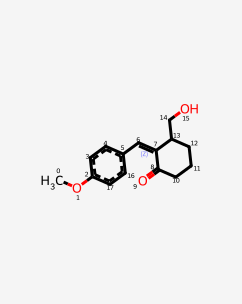 COc1ccc(/C=C2\C(=O)CCCC2CO)cc1